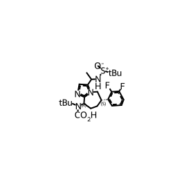 CC(N[S+]([O-])C(C)(C)C)c1cnc2n1C[C@H](c1cccc(F)c1F)CC[C@H]2N(C(=O)O)C(C)(C)C